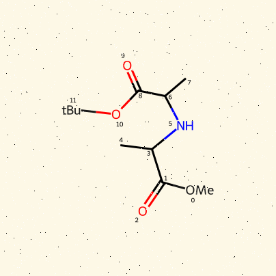 COC(=O)C(C)NC(C)C(=O)OC(C)(C)C